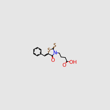 O=C(O)CCCN1C(=O)/C(=C/c2ccccc2)SC1=S